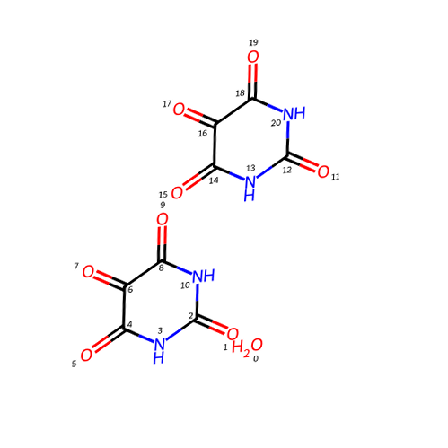 O.O=C1NC(=O)C(=O)C(=O)N1.O=C1NC(=O)C(=O)C(=O)N1